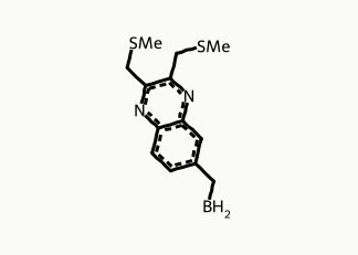 BCc1ccc2nc(CSC)c(CSC)nc2c1